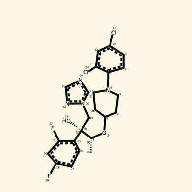 C[C@@H](OC1CCN(c2ccc(Cl)cc2Cl)CC1)[C@](O)(Cn1cncn1)c1ccc(F)cc1F